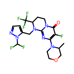 CC1COCCN1c1nc2n(c(=O)c1F)CCC(C(F)(F)F)N2Cc1ccnn1C(F)F